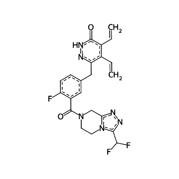 C=Cc1c(Cc2ccc(F)c(C(=O)N3CCn4c(nnc4C(F)F)C3)c2)n[nH]c(=O)c1C=C